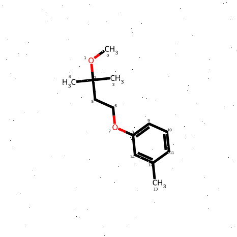 COC(C)(C)CCOc1cc[c]c(C)c1